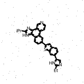 CCc1ncc(-c2ccc3cc(-c4ccc5c(c4)c4ccncc4c4nc(C(C)C)[nH]c54)sc3c2)[nH]1